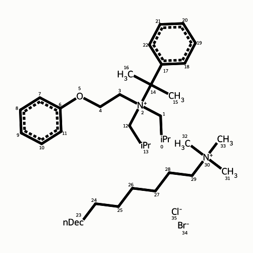 CC(C)C[N+](CCOc1ccccc1)(CC(C)C)C(C)(C)c1ccccc1.CCCCCCCCCCCCCCCC[N+](C)(C)C.[Br-].[Cl-]